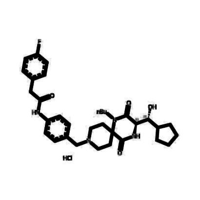 CCCCN1C(=O)[C@@H]([C@H](O)C2CCCC2)NC(=O)C12CCN(Cc1ccc(NC(=O)Cc3ccc(F)cc3)cc1)CC2.Cl